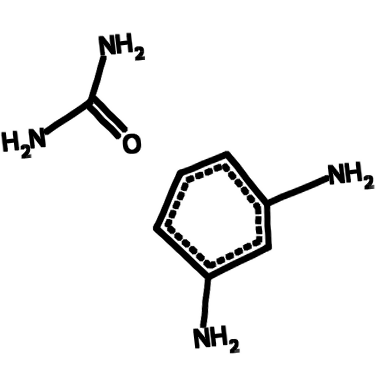 NC(N)=O.Nc1cccc(N)c1